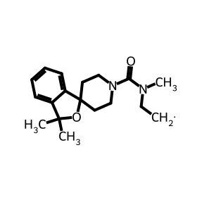 [CH2]CN(C)C(=O)N1CCC2(CC1)OC(C)(C)c1ccccc12